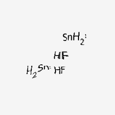 F.F.[SnH2].[SnH2]